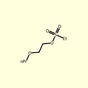 CCCOCCOS(=O)(=O)CC